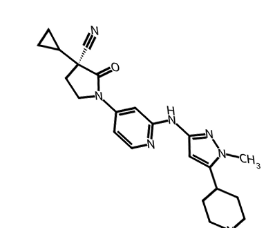 Cn1nc(Nc2cc(N3CC[C@@](C#N)(C4CC4)C3=O)ccn2)cc1C1CCNCC1